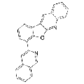 c1ccc2cc(-c3cccc4c3oc3nc5ccccc5cc34)ncc2c1